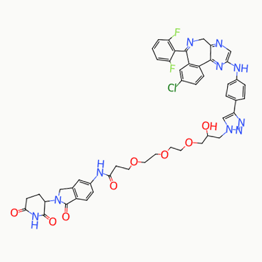 O=C1CCC(N2Cc3cc(NC(=O)CCOCCOCCOCC(O)Cn4cc(-c5ccc(Nc6cnc7c(n6)-c6ccc(Cl)cc6C(c6c(F)cccc6F)=NC7)cc5)nn4)ccc3C2=O)C(=O)N1